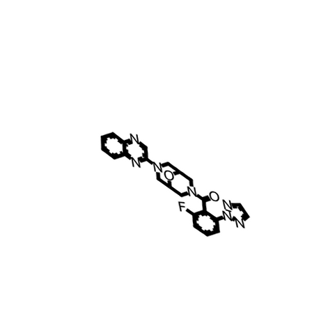 O=C(c1c(F)cccc1-n1nccn1)N1CC2CN(c3cnc4ccccc4n3)CC(C1)O2